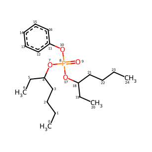 CCCCC(CC)OP(=O)(Oc1ccccc1)OC(CC)CCCC